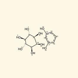 O[C@H]1[C@H](O)[C@@H](O)[C@H](O)[C@@H](O)[C@H]1O.Oc1cccc(O)c1